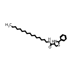 CCCCCCCCCCCCCCCCNC(=O)C1CSC(c2ccccc2)N1